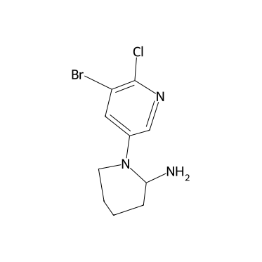 NC1CCCCN1c1cnc(Cl)c(Br)c1